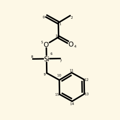 C=C(C)C(=O)O[Si](C)(C)Cc1ccccc1